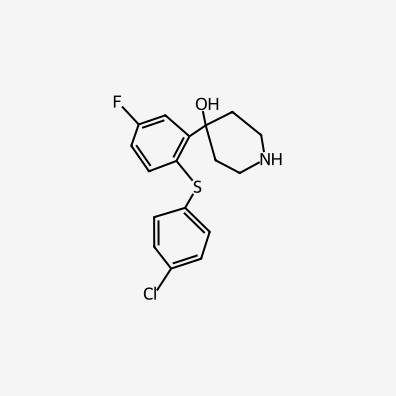 OC1(c2cc(F)ccc2Sc2ccc(Cl)cc2)CCNCC1